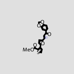 COC(=O)c1sccc1-c1ccc(/C=C/C(=O)c2ccc3c(c2)OCO3)o1